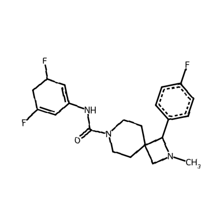 CN1CC2(CCN(C(=O)NC3=CC(F)CC(F)=C3)CC2)C1c1ccc(F)cc1